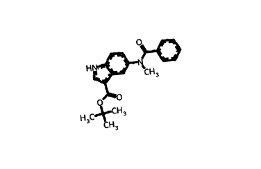 CN(C(=O)c1ccccc1)c1ccc2[nH]cc(C(=O)OC(C)(C)C)c2c1